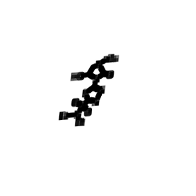 CCCCN1CC(O)N(c2nnc(S(=O)(=O)N(CC)CC)s2)C1=O